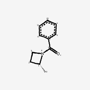 C[C@@H]1CCN1C(=O)c1ccccc1